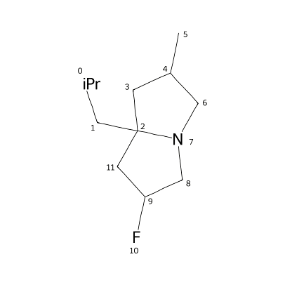 CC(C)CC12CC(C)CN1CC(F)C2